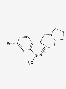 CN(/N=C1\CCN2CCCC2C1)c1cccc(Br)n1